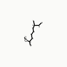 [CH2]C(CCCCC(C)CC)OC